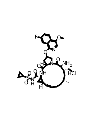 CC[C@@H]1C[C@H](C)CCC=C[C@@H]2C[C@@]2(C(=O)NS(=O)(=O)C2CC2)NC(=O)[C@@H]2C[C@@H](Oc3ncc(OC)c4ccc(F)cc34)CN2C(=O)[C@H]1N.Cl